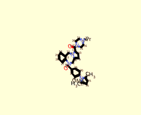 COc1cc(C(=O)N2Cc3ccc(C(=O)N4CCN(C(C)C)CC4)n3Cc3ccccc32)ccc1-n1c(C)ccc1C